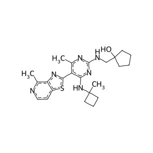 Cc1nc(NCC2(O)CCCC2)nc(NC2(C)CCC2)c1-c1nc2c(C)nccc2s1